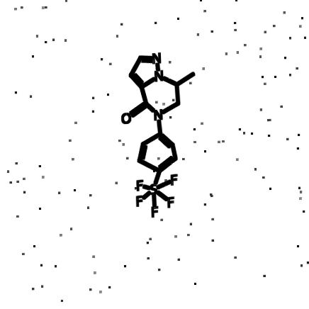 CC1CN(c2ccc(S(F)(F)(F)(F)F)cc2)C(=O)c2ccnn21